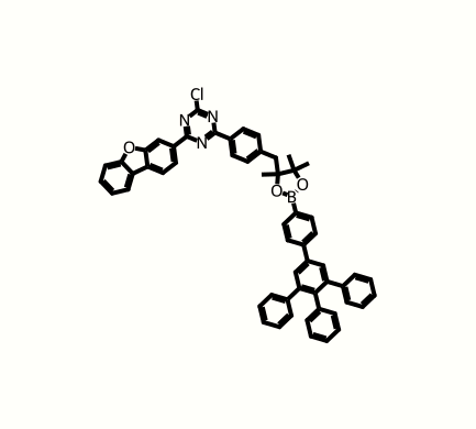 CC1(C)OB(c2ccc(-c3cc(-c4ccccc4)c(-c4ccccc4)c(-c4ccccc4)c3)cc2)OC1(C)Cc1ccc(-c2nc(Cl)nc(-c3ccc4c(c3)oc3ccccc34)n2)cc1